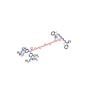 CCN1/C(=C/C=C/C(=C/C=C/c2sc3ccccc3[n+]2CC)OCCOCCOCCOCCOCCOCC(=O)N(c2ccc(N(C)C)c(C)c2)c2ccc(N(C)C)c(C)c2)Sc2ccccc21